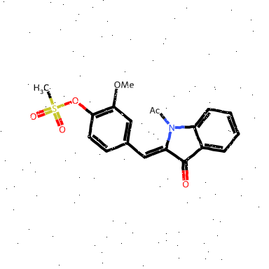 COc1cc(C=C2C(=O)c3ccccc3N2C(C)=O)ccc1OS(C)(=O)=O